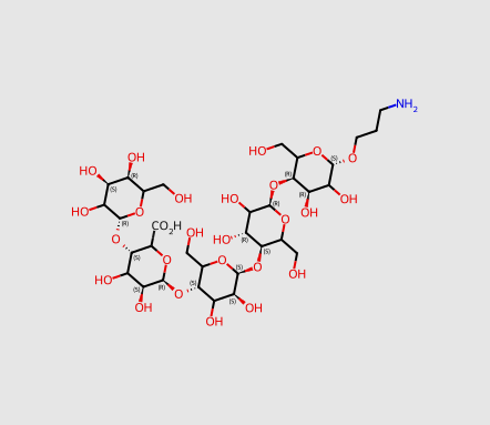 NCCCO[C@H]1OC(CO)[C@H](O[C@H]2OC(CO)[C@@H](O[C@@H]3OC(CO)[C@@H](O[C@@H]4OC(C(=O)O)[C@@H](O[C@H]5OC(CO)[C@H](O)[C@H](O)C5O)C(O)[C@@H]4O)C(O)[C@@H]3O)[C@H](O)C2O)[C@H](O)C1O